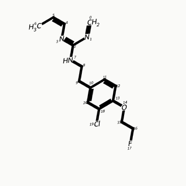 C=N/C(=N\C=C/C)NCCc1ccc(OCCF)c(Cl)c1